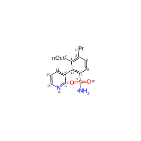 CCCCCCCCc1c(C(C)C)ccc(S(N)(=O)=O)c1-c1cccnc1